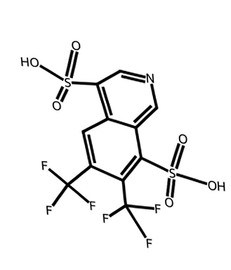 O=S(=O)(O)c1cncc2c(S(=O)(=O)O)c(C(F)(F)F)c(C(F)(F)F)cc12